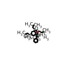 CC(C)=CCC1=C(O)[C@@]2(C(=O)c3ccccc3)C(=O)[C@](CC=C(C)C)(C[C@H](CC=C(C)C)C2(C)C)C1=O